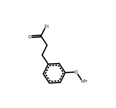 CCCOc1cccc(CCC(=O)CC)c1